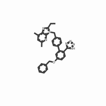 CCc1nc2c(C)cc(C)nc2n1Cc1ccc(-c2cc(OCc3ccccc3)ccc2-c2nnn[nH]2)cc1